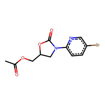 CC(=O)OCC1CN(c2ccc(Br)cn2)C(=O)O1